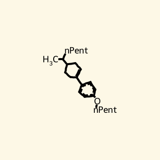 CCCCCOc1ccc(C2=CCC(C(C)CCCCC)CC2)cc1